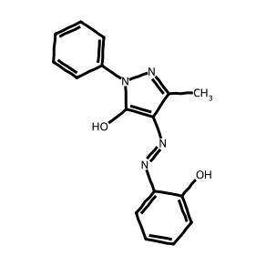 Cc1nn(-c2ccccc2)c(O)c1N=Nc1ccccc1O